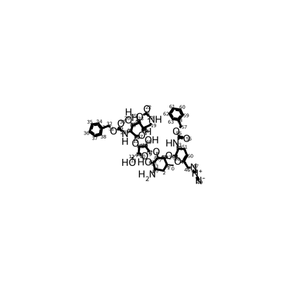 C[C@H]1C[C@@H](N)[C@H](O)[C@@H](O[C@@H]2O[C@H](CO)[C@@H](O[C@H]3O[C@H]4CNC(=O)O[C@H]4[C@H](O)[C@H]3NC(=O)OCc3ccccc3)[C@H]2O)[C@@H]1O[C@H]1OC(CN=[N+]=[N-])=CC[C@H]1NC(=O)OCc1ccccc1